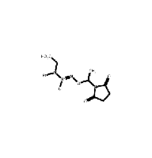 CCN(CC(=O)O)[N+]([O-])=NOC(C)N1C(=O)CCC1=O